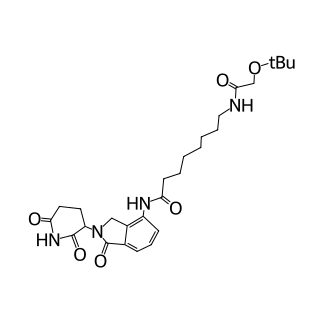 CC(C)(C)OCC(=O)NCCCCCCCC(=O)Nc1cccc2c1CN(C1CCC(=O)NC1=O)C2=O